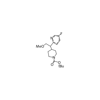 COCC(c1ccc(F)cn1)C1CCN(C(=O)OC(C)(C)C)CC1